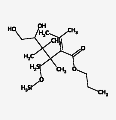 CCCOC(=O)C(=C(C)C)C(C)([SiH2]O[SiH3])C(C)(C)C(O)CO